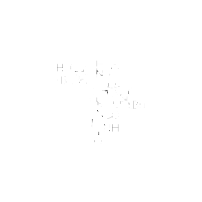 CC(C)(C)[Si](C)(C)OC[C@H]1O[C@@H](n2ccc(=O)[nH]c2=O)C(O[Si](C)(C)C(C)(C)C)[C@H]1OC(N)=O